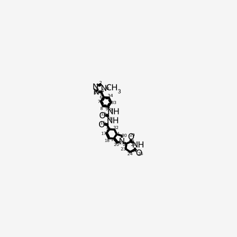 Cn1cnnc1-c1ccc(NC(=O)NC(=O)C2C=CC3=CN(C4CCC(=O)NC4=O)CC3C2)cc1